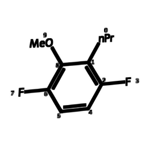 CCCc1c(F)ccc(F)c1OC